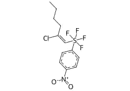 CCCC/C(Cl)=C\S(F)(F)(F)(F)c1ccc([N+](=O)[O-])cc1